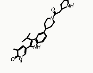 Cc1cc(-c2[nH]c3ccc(C4CCN(C(=O)CC5CCCN5)CC4)cc3c2C(C)C)cn(C)c1=O